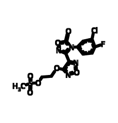 CS(=O)(=O)OCCOc1nonc1-c1noc(=O)n1-c1ccc(F)c(Cl)c1